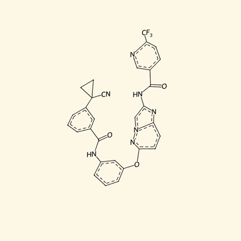 N#CC1(c2cccc(C(=O)Nc3cccc(Oc4ccc5nc(NC(=O)c6ccc(C(F)(F)F)nc6)cn5n4)c3)c2)CC1